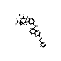 C[C@]1(c2cc(Nc3nccc4nc(OCc5ncco5)cnc34)ccc2F)N=C(N)S[C@@]2(C(F)F)C[C@@H]12